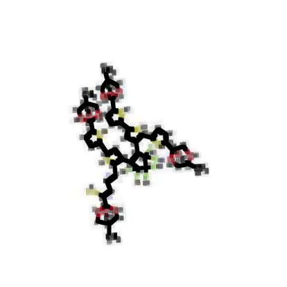 CC12COC(/C(S)=C/C=C/c3sc(-c4ccc(C56OCC(C)(CO5)CO6)s4)cc3C3=C(c4cc(-c5ccc(C67OCC(C)(CO6)CO7)s5)sc4-c4ccc(C56COC(C)(CO5)CO6)s4)C(F)(F)C(F)(F)C3(F)F)(OC1)OC2